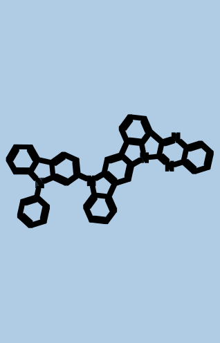 c1ccc(-n2c3ccccc3c3ccc(-n4c5ccccc5c5cc6c(cc54)c4cccc5c7nc8ccccc8nc7n6c45)cc32)cc1